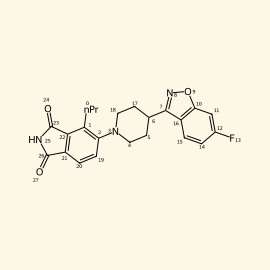 CCCc1c(N2CCC(c3noc4cc(F)ccc34)CC2)ccc2c1C(=O)NC2=O